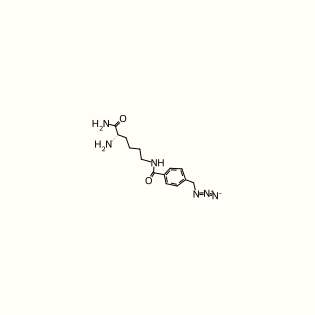 [N-]=[N+]=NCc1ccc(C(=O)NCCCC[C@H](N)C(N)=O)cc1